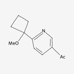 COC1(c2ccc(C(C)=O)cn2)CCC1